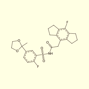 CC1(c2ccc(F)c(S(=O)(=O)NC(=O)Cc3c4c(c(F)c5c3CCC5)CCC4)c2)OCCO1